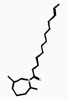 CC=CCCCCCCCCCC(=O)N1CC(C)CCCC1C